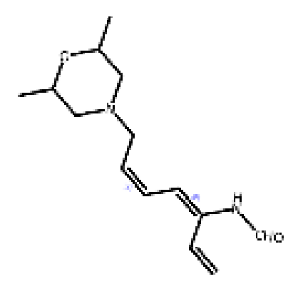 C=C/C(=C\C=C/CN1CC(C)OC(C)C1)NC=O